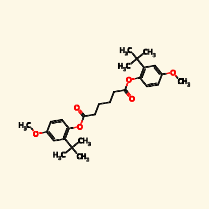 COc1ccc(OC(=O)CCCCC(=O)Oc2ccc(OC)cc2C(C)(C)C)c(C(C)(C)C)c1